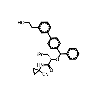 CC(C)C[C@H](OC(c1ccccc1)c1ccc(-c2cccc(CCO)c2)cc1)C(=O)NC1(C#N)CC1